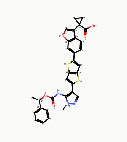 C[C@@H](OC(=O)Nc1c(-c2cc3sc(-c4ccc5c(C6(C(=O)O)CC6)coc5c4)cc3s2)cnn1C)c1ccccc1